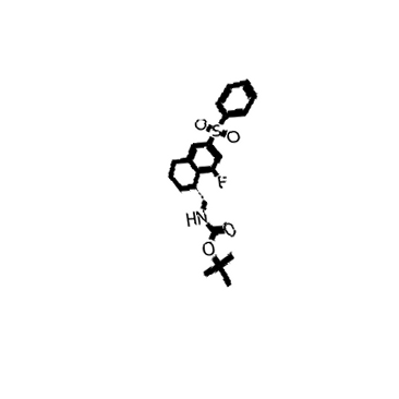 CC(C)(C)OC(=O)NC[C@@H]1CCCc2cc(S(=O)(=O)c3ccccc3)cc(F)c21